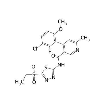 CCS(=O)(=O)c1nnc(NC(=O)c2cnc(C)cc2-c2c(OC)ccc(Cl)c2F)s1